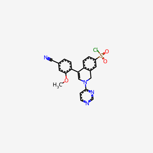 COc1cc(C#N)ccc1C1=CN(c2ccncn2)Cc2cc(S(=O)(=O)Cl)ccc21